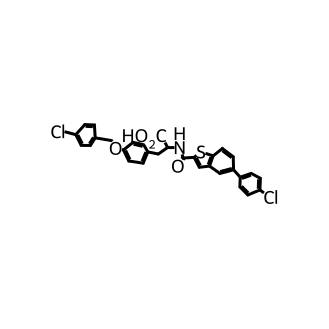 O=C(NC(Cc1ccc(OCc2ccc(Cl)cc2)cc1)C(=O)O)c1cc2cc(-c3ccc(Cl)cc3)ccc2s1